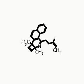 C/C=C(/I)CCC1=NC2(C)C=CC2(C)C2=C1C1C=CC=CC1C=C2